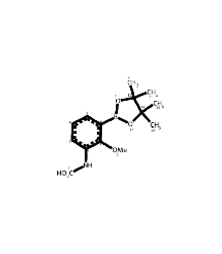 COc1c(NC(=O)O)cccc1B1OC(C)(C)C(C)(C)O1